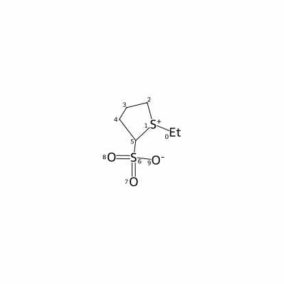 CC[S+]1CCCC1S(=O)(=O)[O-]